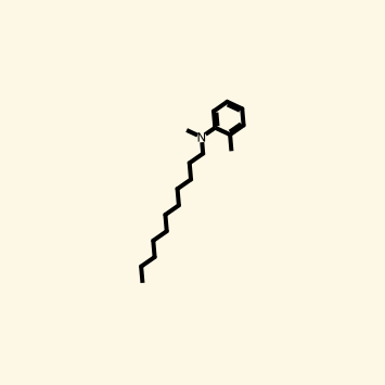 CCCCCCCCCCCN(C)c1ccccc1C